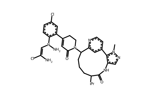 CC(C)C1CCCC(N2CCC(c3cc(Cl)ccc3N(N)/C=C(\N)Cl)=CC2=O)c2cc(ccn2)-c2c(cnn2C)NC1=O